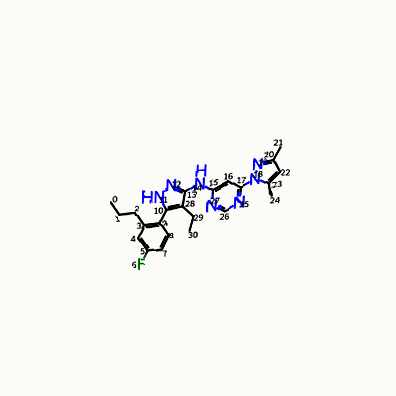 CCCc1cc(F)ccc1-c1[nH]nc(Nc2cc(-n3nc(C)cc3C)ncn2)c1CC